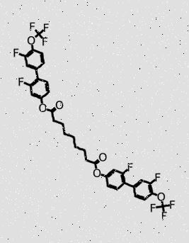 O=C(CCCCCCCC(=O)Oc1ccc(-c2ccc(OC(F)(F)F)c(F)c2)c(F)c1)Oc1ccc(-c2ccc(OC(F)(F)F)c(F)c2)c(F)c1